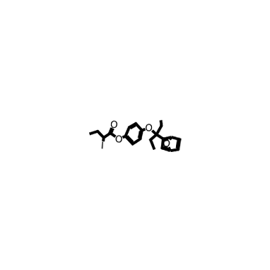 CCC(I)C(=O)Oc1ccc(OC(CC)(CC)c2cc3ccc2o3)cc1